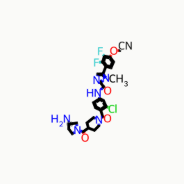 Cn1c(-c2ccc(OCC#N)c(F)c2F)cnc1C(=O)Nc1ccc(C(=O)N2CCC(C(=O)N3CC[C@@H](N)C3)CC2)c(Cl)c1